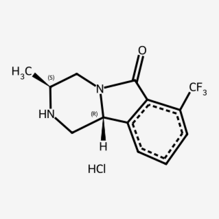 C[C@H]1CN2C(=O)c3c(cccc3C(F)(F)F)[C@@H]2CN1.Cl